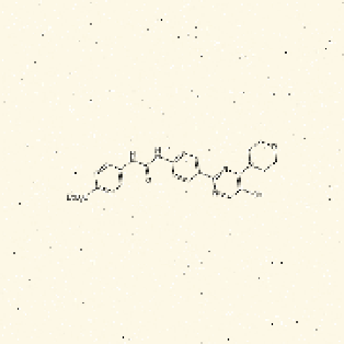 CCOC(=O)c1ccc(NC(=O)Nc2ccc(-c3ncc(S)c(N4CCOCC4)n3)cc2)cc1